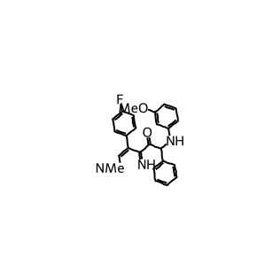 CN/C=C(\C(=N)C(=O)C(Nc1cccc(OC)c1)c1ccccc1)c1ccc(F)cc1